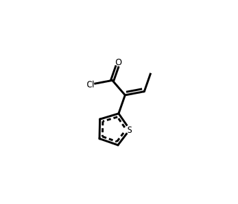 CC=C(C(=O)Cl)c1cccs1